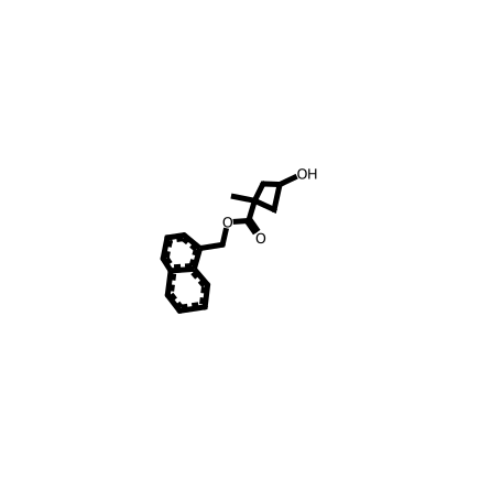 CC1(C(=O)OCc2cccc3ccccc23)CC(O)C1